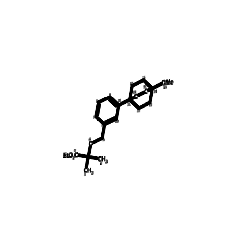 CCOC(=O)C(C)(C)OCc1cccc(C23CCC(OC)(CC2)CC3)c1